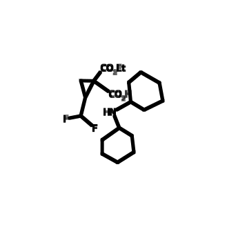 C1CCC(NC2CCCCC2)CC1.CCOC(=O)C1(C(=O)O)CC1C(F)F